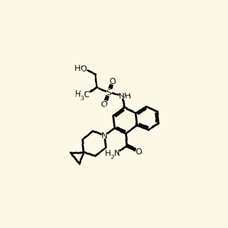 CC(CO)S(=O)(=O)Nc1cc(N2CCC3(CC2)CC3)c(C(N)=O)c2ccccc12